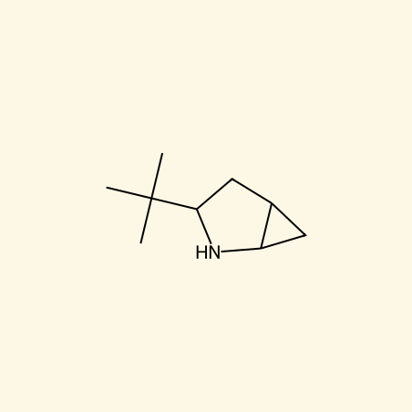 CC(C)(C)C1CC2CC2N1